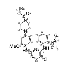 COc1cc(N2CCN(C(=O)OC(C)(C)C)CC2)ccc1Nc1ncc(Cl)c(Nc2ccccc2N(C)[SH]=O)n1